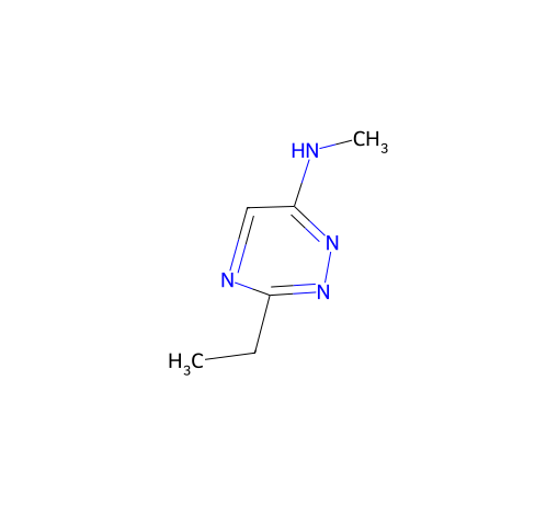 CCc1ncc(NC)nn1